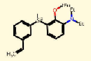 C=Cc1cccc([SiH2]c2cccc(N(CC)CC)c2OC(C)(C)C)c1